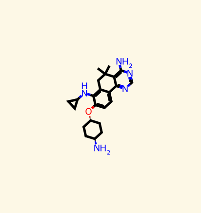 CC1(C)Cc2c(ccc(O[C@H]3CC[C@H](N)CC3)c2NC2CC2)-c2ncnc(N)c21